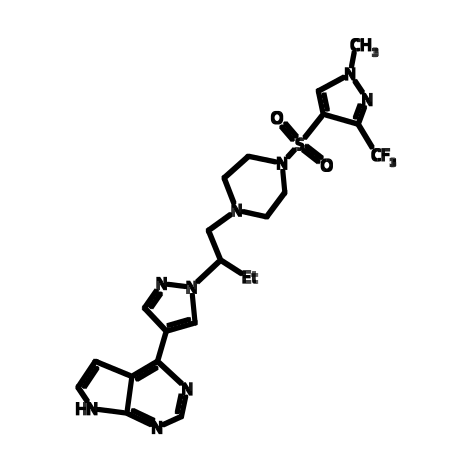 CCC(CN1CCN(S(=O)(=O)c2cn(C)nc2C(F)(F)F)CC1)n1cc(-c2ncnc3[nH]ccc23)cn1